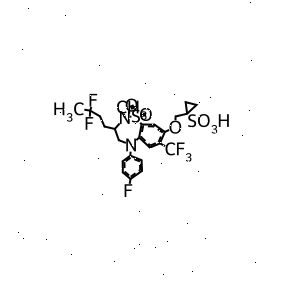 CN1C(CCC(C)(F)F)CN(c2ccc(F)cc2)c2cc(C(F)(F)F)c(OCC3(S(=O)(=O)O)CC3)cc2S1(=O)=O